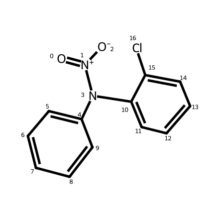 O=[N+]([O-])N(c1ccccc1)c1ccccc1Cl